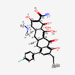 CC(=O)NCc1cc(-c2ccc(F)cc2)c2c(c1O)C(=O)C1=C(O)[C@]3(O)C(=O)C(C(N)=O)=C(O)[C@@H](N(C)C)[C@@H]3C[C@@H]1C2